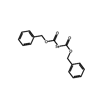 O=C(OCc1ccccc1)[Se]C(=O)OCc1ccccc1